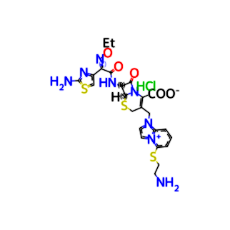 CCO/N=C(\C(=O)N[C@@H]1C(=O)N2C(C(=O)[O-])=C(Cn3cc[n+]4c(SCCN)cccc34)CS[C@@H]12)c1csc(N)n1.Cl